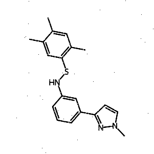 Cc1cc(C)c(SNc2cccc(-c3ccn(C)n3)c2)cc1C